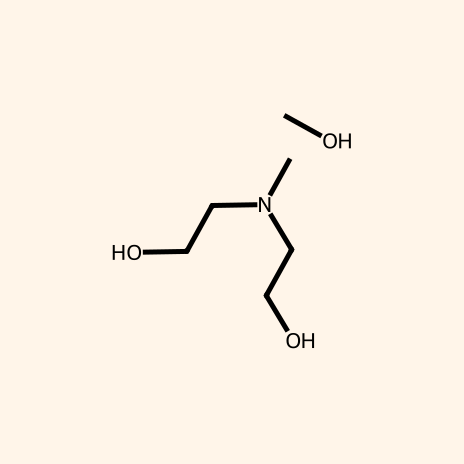 CN(CCO)CCO.CO